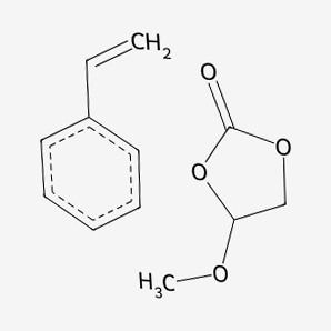 C=Cc1ccccc1.COC1COC(=O)O1